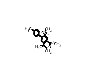 CCC(C)c1cc(-c2ccc(C)cc2)c(S(C)(=O)=O)cc1C(=O)OC